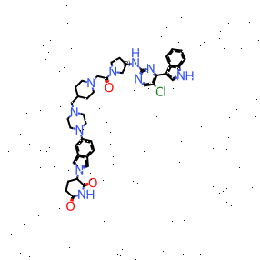 O=C1CCC(n2cc3ccc(N4CCN(CC5CCN(CC(=O)N6CC[C@@H](Nc7ncc(Cl)c(-c8c[nH]c9ccccc89)n7)C6)CC5)CC4)cc3c2)C(=O)N1